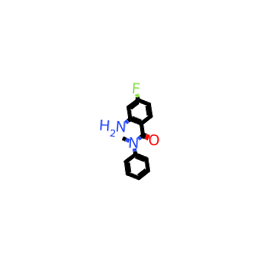 CN(C(=O)c1ccc(F)cc1N)c1ccccc1